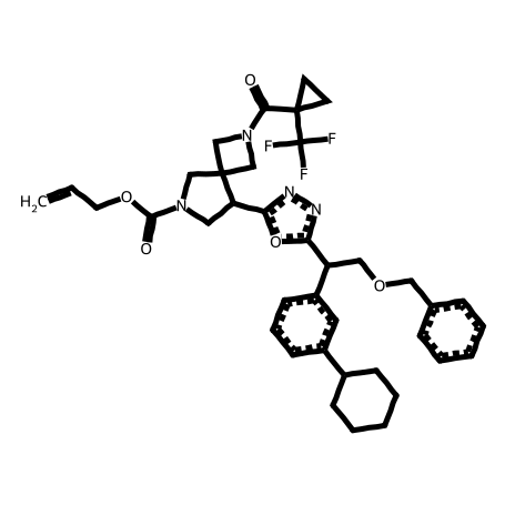 C=CCOC(=O)N1CC(c2nnc(C(COCc3ccccc3)c3cccc(C4CCCCC4)c3)o2)C2(C1)CN(C(=O)C1(C(F)(F)F)CC1)C2